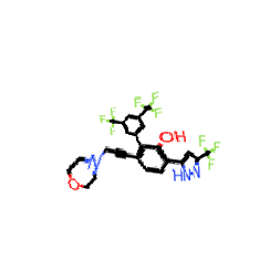 Oc1c(-c2cc(C(F)(F)F)n[nH]2)ccc(C#CCN2CCOCC2)c1-c1cc(C(F)(F)F)cc(C(F)(F)F)c1